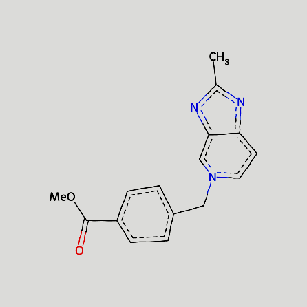 COC(=O)c1ccc(Cn2ccc3nc(C)nc-3c2)cc1